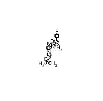 CCc1nc2ccc(N3CCN(CC(=O)N(C)C)CC3)cn2c1N(C)c1nc(-c2ccc(F)cc2)cs1